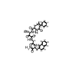 CC[C@H](C)C(NC(=O)C(CC1CC1)NC(=O)Cc1ccccc1)C(=O)C(=O)NCC(=O)NC(Cc1ccc2ccccc2c1)C(N)=O